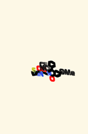 COc1ccc2c(=O)n(CC(NCc3cccs3)OC(=O)C(F)(F)F)c(C#N)c(-c3ccccc3)c2c1